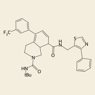 CC(C)(C)NC(=O)N1CCC2=C(c3cccc(C(F)(F)F)c3)C=CC(C(=O)NCc3scnc3-c3ccccc3)C2C1